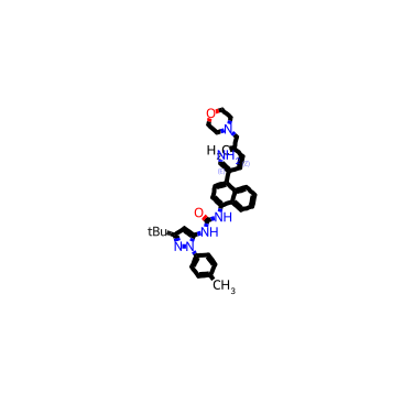 C=C(/C=C\C(=C/N)c1ccc(NC(=O)Nc2cc(C(C)(C)C)nn2-c2ccc(C)cc2)c2ccccc12)CN1CCOCC1